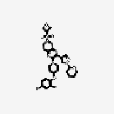 O=S(=O)(C1COC1)N1CCc2nc(N3CCC(Oc4ccc(F)cc4F)CC3)c(-c3cnn(C4CCCCO4)c3)nc2C1